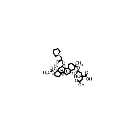 CC(=O)[C@H]1CC[C@H]2[C@@H]3CCC4CC(C)(OC(=O)CC(O)(CC(=O)O)C(=O)O)CC[C@]4(C)[C@H]3C(OC(=O)CN3CCCCC3)C[C@]12C